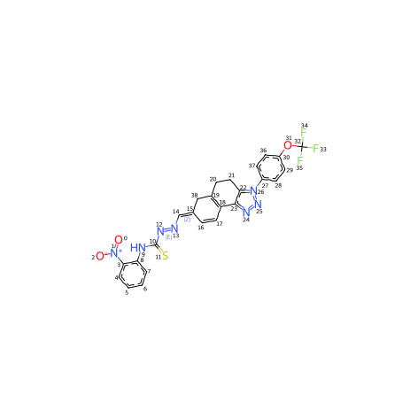 O=[N+]([O-])c1ccccc1NC(=S)/N=N/C=C1\C=CC2=C(CCc3c2nnn3-c2ccc(OC(F)(F)F)cc2)C1